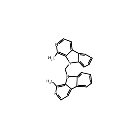 Cc1nccc2c3ccccc3n(Cn3c4ccccc4c4ccnc(C)c43)c12